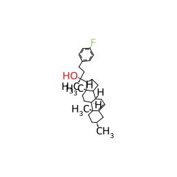 C[C@H]1CC[C@@]2(C)C(=CC[C@H]3[C@@H]4CC[C@H]([C@](C)(O)CCc5ccc(F)cc5)[C@@]4(C)CC[C@@H]32)C1